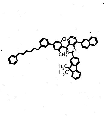 Cc1cc(-c2cccc(CCCCCCc3ccccc3)c2)cc(C)c1-c1nc(-c2ccc3c(c2)C(C)(C)c2ccccc2-3)nc2c(-c3ccc4ccccc4c3)cccc12